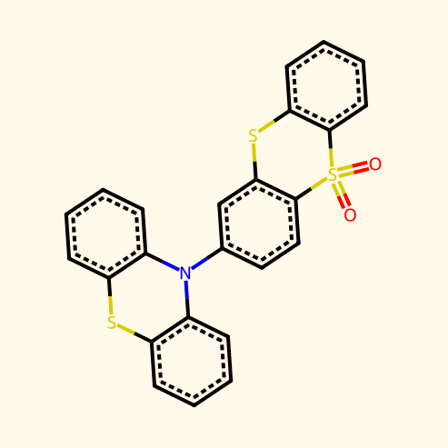 O=S1(=O)c2ccccc2Sc2cc(N3c4ccccc4Sc4ccccc43)ccc21